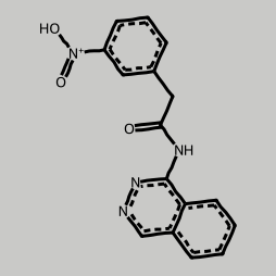 O=C(Cc1cccc([N+](=O)O)c1)Nc1nncc2ccccc12